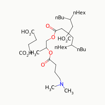 CCCCCCC(CCCC)CC(CC(=O)OCC(C)OC(=O)CCCN(C)C)(CC(CCCC)CCCCCC)C(=O)O.O=C(O)CCC(=O)O